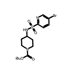 CC(C)COC(=O)N1CCC(NS(=O)(=O)c2ccc(Br)cn2)CC1